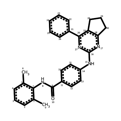 Cc1cccc(C)c1NC(=O)c1ccc(Nc2nc3c(c(-c4ccccc4)n2)CCC3)cc1